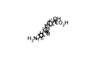 NCc1ccc(N2CC(CN3CCC(C(O)C(=O)O)CC3)OC2=O)cc1